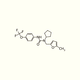 Cc1ccc(CN(C(=O)Nc2ccc(OC(F)(F)F)cc2)C2CCCC2)o1